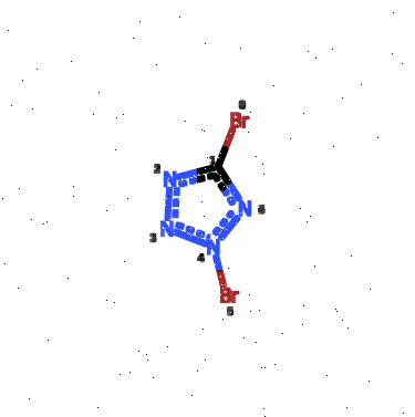 Brc1nnn(Br)n1